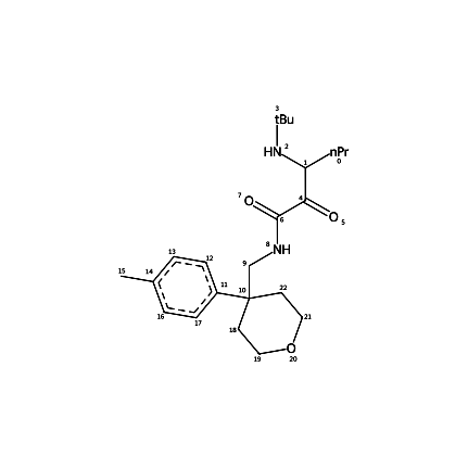 CCCC(NC(C)(C)C)C(=O)C(=O)NCC1(c2ccc(C)cc2)CCOCC1